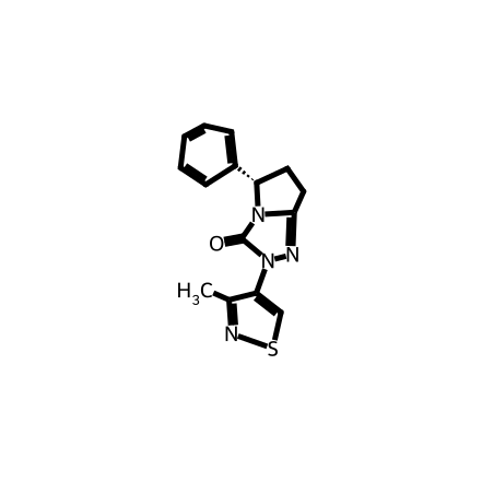 Cc1nscc1-n1nc2n(c1=O)[C@H](c1ccccc1)CC2